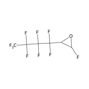 FC1OC1C(F)(F)C(F)(F)C(F)(F)C(F)(F)F